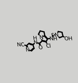 N#Cc1cc(NC(=O)c2c(Cl)c(NSN3CCC(O)C3)c3n2CCC3)ccn1